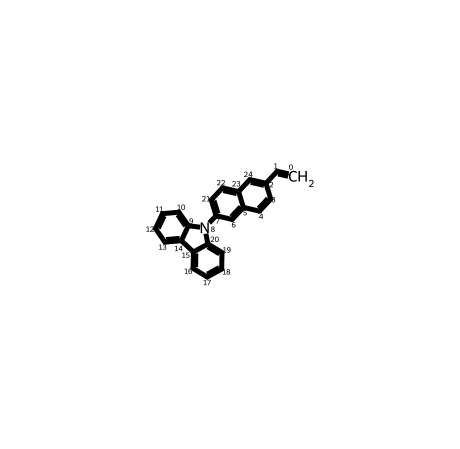 C=Cc1ccc2cc(-n3c4ccccc4c4ccccc43)ccc2c1